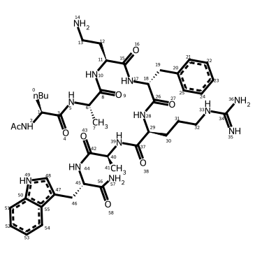 CCCC[C@H](NC(C)=O)C(=O)N[C@@H](C)C(=O)N[C@@H](CCN)C(=O)N[C@H](Cc1ccccc1)C(=O)N[C@@H](CCCNC(=N)N)C(=O)N[C@@H](C)C(=O)N[C@@H](Cc1c[nH]c2ccccc12)C(N)=O